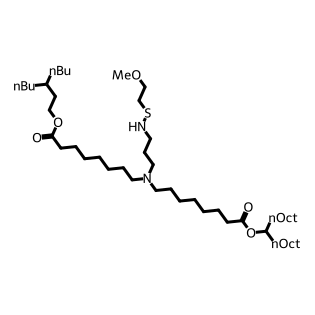 CCCCCCCCC(CCCCCCCC)OC(=O)CCCCCCCN(CCCCCCCC(=O)OCCC(CCCC)CCCC)CCCNSCCOC